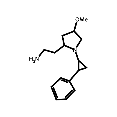 COC1CC(CCN)N(C2CC2c2ccccc2)C1